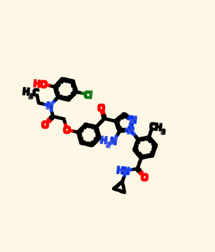 CCN(C(=O)COc1cccc(C(=O)c2cnn(-c3cc(C(=O)NC4CC4)ccc3C)c2N)c1)c1cc(Cl)ccc1O